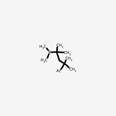 CB(C)C(C)(C)CC(C)(C)C(C)=O